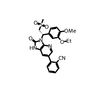 CCOc1cc([C@@H](CS(C)(=O)=O)n2c(=O)[nH]c3cc(-c4ccccc4C#N)cnc32)ccc1OC